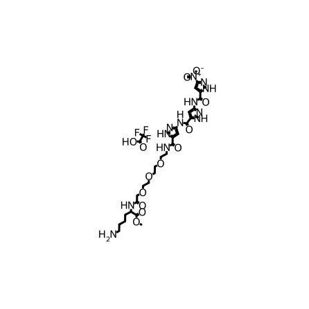 COC(=O)C(CCCCN)NC(=O)COCCOCCOCCNC(=O)c1cc(NC(=O)c2cc(NC(=O)c3cc([N+](=O)[O-])n[nH]3)n[nH]2)n[nH]1.O=C(O)C(F)(F)F